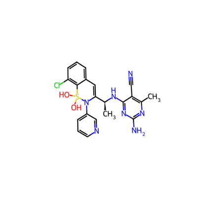 Cc1nc(N)nc(N[C@@H](C)C2=Cc3cccc(Cl)c3S(O)(O)N2c2cccnc2)c1C#N